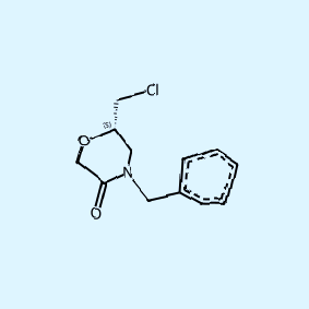 O=C1CO[C@H](CCl)CN1Cc1ccccc1